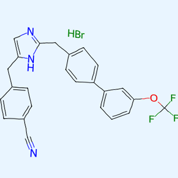 Br.N#Cc1ccc(Cc2cnc(Cc3ccc(-c4cccc(OC(F)(F)F)c4)cc3)[nH]2)cc1